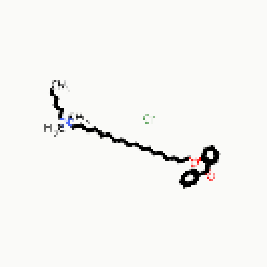 CCCCCC[N+](C)(C)CCCCCCCCCCCCCCCCCCOc1ccccc1C(=O)c1ccccc1.[Cl-]